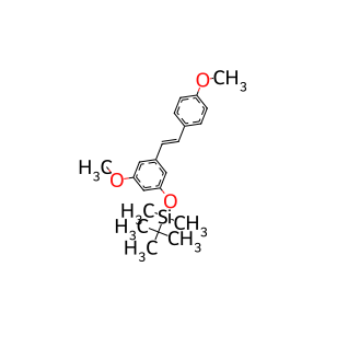 COc1ccc(C=Cc2cc(OC)cc(O[Si](C)(C)C(C)(C)C)c2)cc1